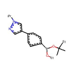 CCOB(OC(C)(C)CC)c1ccc(-c2cnn(C(C)C)c2)cc1